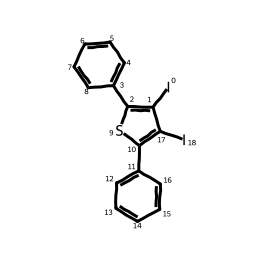 Ic1c(-c2ccccc2)sc(-c2ccccc2)c1I